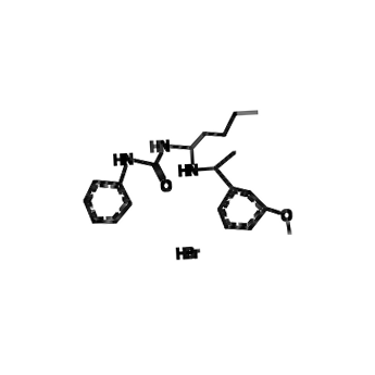 Br.CCCCC(NC(=O)Nc1ccccc1)NC(C)c1cccc(OC)c1